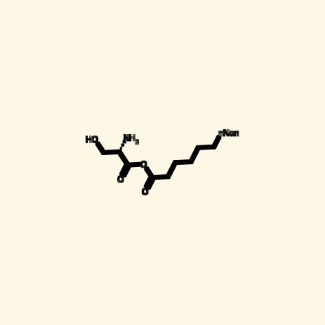 CCCCCCCCCCCCCCC(=O)OC(=O)[C@@H](N)CO